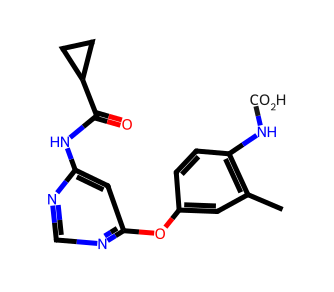 Cc1cc(Oc2cc(NC(=O)C3CC3)ncn2)ccc1NC(=O)O